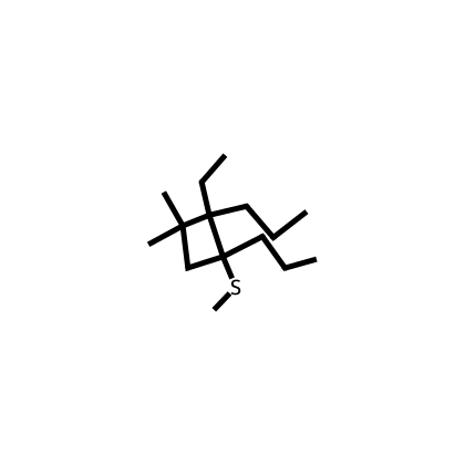 CCCC1(SC)CC(C)(C)C1(CC)CCC